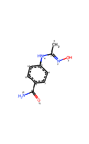 CC(=NO)Nc1ccc(C(N)=O)cc1